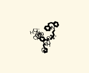 C[N+](C)(CCCN1c2ccccc2CCc2ccccc21)COC(=O)c1cc(S(N)(=O)=O)c(Cl)cc1NCc1ccco1.[Cl-]